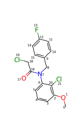 COc1cccc(N(Cc2ccc(F)cc2)C(=O)CCl)c1Cl